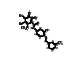 O=C(O)c1c(Br)c(Br)c(Br)c(Br)c1C(=O)Nc1ccc(OCc2cccc(C(F)(F)F)c2)c(Cl)c1